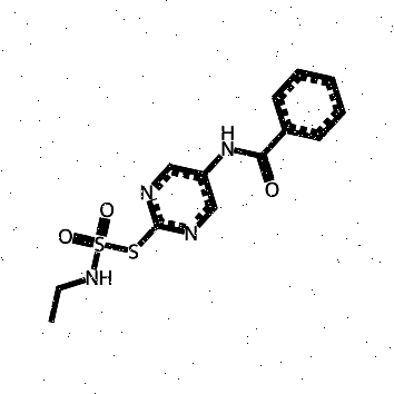 CCNS(=O)(=O)Sc1ncc(NC(=O)c2ccccc2)cn1